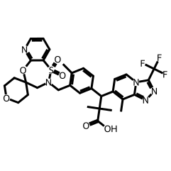 Cc1ccc(C(c2ccn3c(C(F)(F)F)nnc3c2C)C(C)(C)C(=O)O)cc1CN1CC2(CCOCC2)Oc2ncccc2S1(=O)=O